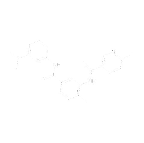 Cc1ccc(C(=O)Nc2cccc(N(C)C)c2)cc1NC(=O)c1ccc(Cl)nc1